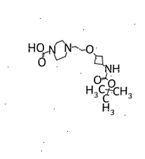 CC(C)(C)OC(=O)NC1CC(OCCN2CCN(C(=O)O)CC2)C1